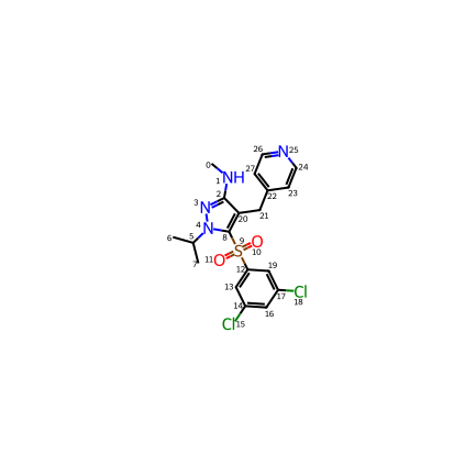 CNc1nn(C(C)C)c(S(=O)(=O)c2cc(Cl)cc(Cl)c2)c1Cc1ccncc1